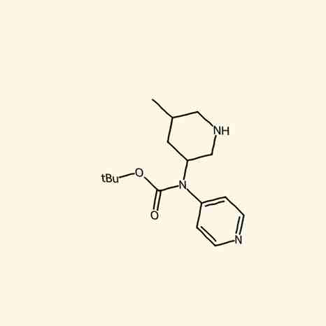 CC1CNCC(N(C(=O)OC(C)(C)C)c2ccncc2)C1